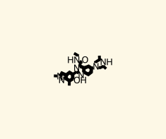 CCNC(=O)c1nc(-c2cc3cn(C)nc3c(C)c2O)nc2ccc(N3CC(C)NC(C)C3)cc12